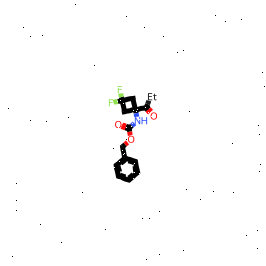 CCC(=O)C1(NC(=O)OCc2ccccc2)CC(F)(F)C1